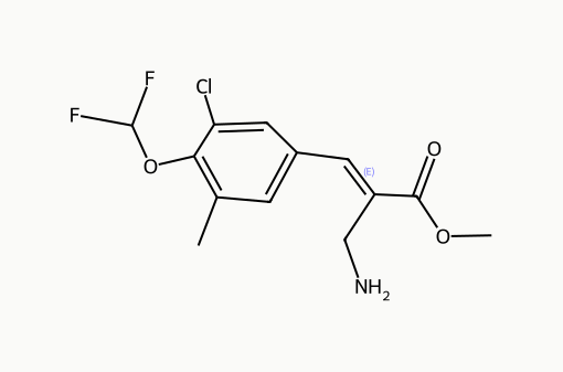 COC(=O)/C(=C/c1cc(C)c(OC(F)F)c(Cl)c1)CN